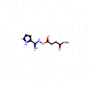 COC(=O)CCC(=O)ONC(=N)c1ccc[nH]1